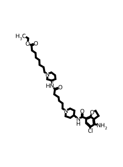 CCOC(=O)CCCCCCCN1CCC[C@@H](NC(=O)CCCCCN2CCC(NC(=O)c3cc(Cl)c(N)c4c3OCC4)CC2)C1